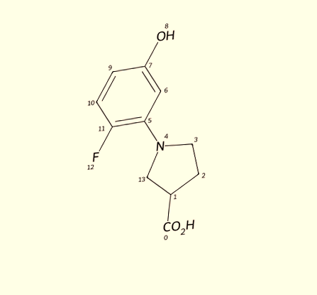 O=C(O)C1CCN(c2cc(O)ccc2F)C1